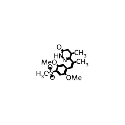 COc1cc(S(C)(=O)=O)c(OC)cc1C=C(C)C1=NNC(=O)CC1C